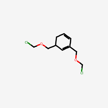 ClCOCC1=CC(COCCl)CC=C1